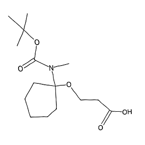 CN(C(=O)OC(C)(C)C)C1(OCCC(=O)O)CCCCC1